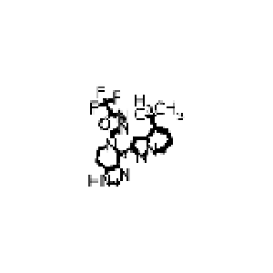 CC(C)c1cccn2nc([C@H]3c4nc[nH]c4CCN3c3nnc(C(F)(F)F)o3)cc12